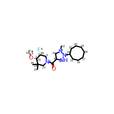 CCO[C@@H]1[C@H](F)CN(C(=O)C2CN(C)N(C3CCCCCCC3)N2)CC1(C)C